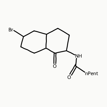 CCCCCC(=O)NC1CCC2CC(Br)CCC2C1=O